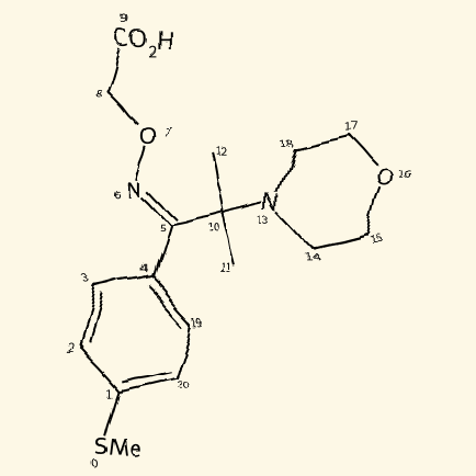 CSc1ccc(C(=NOCC(=O)O)C(C)(C)N2CCOCC2)cc1